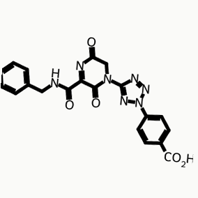 O=C1CN(c2nnn(-c3ccc(C(=O)O)cc3)n2)C(=O)C(C(=O)NCc2ccccc2)=N1